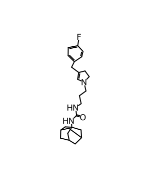 O=C(NCCCN1C=C(Cc2ccc(F)cc2)CC1)NC12CC3CC(CC(C3)C1)C2